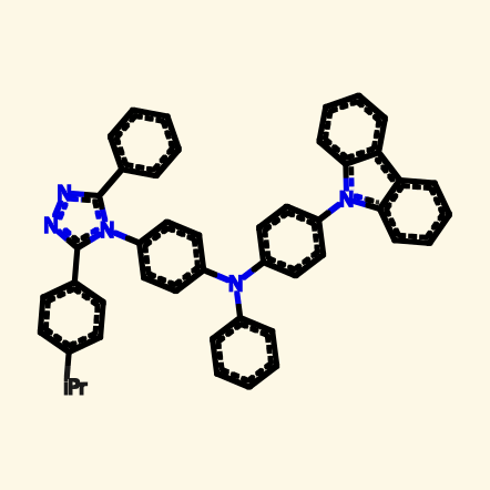 CC(C)c1ccc(-c2nnc(-c3ccccc3)n2-c2ccc(N(c3ccccc3)c3ccc(-n4c5ccccc5c5ccccc54)cc3)cc2)cc1